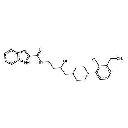 CCc1cccc(N2CCN(CC(O)CCNC(=O)c3cc4ccccc4[nH]3)CC2)c1Cl